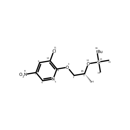 C[C@H](COc1ncc([N+](=O)[O-])cc1Cl)O[Si](C)(C)C(C)(C)C